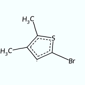 Cc1[c]c(Br)sc1C